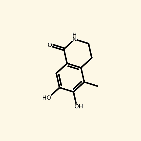 Cc1c(O)c(O)cc2c1CCNC2=O